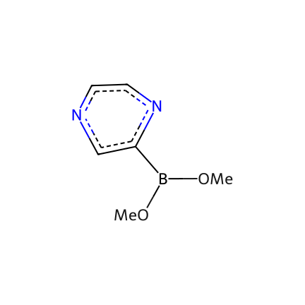 COB(OC)c1cnccn1